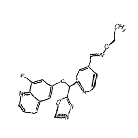 CCO/N=C/c1ccnc(C(Oc2cc(F)c3ncccc3c2)c2nnco2)c1